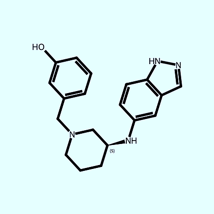 Oc1cccc(CN2CCC[C@H](Nc3ccc4[nH]ncc4c3)C2)c1